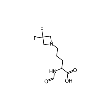 O=CNC(CCCN1CC(F)(F)C1)C(=O)O